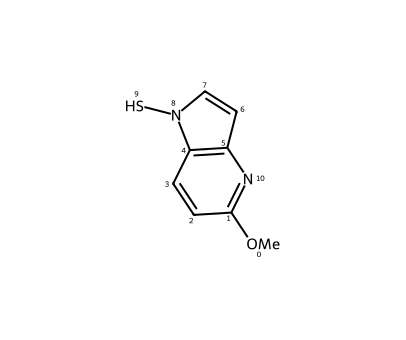 COc1ccc2c(ccn2S)n1